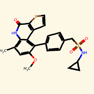 COc1cc(C)c2[nH]c(=O)c3sccc3c2c1-c1ccc(CS(=O)(=O)NC2CC2)cc1